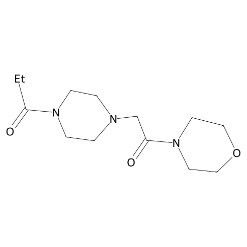 CCC(=O)N1CCN(CC(=O)N2CCOCC2)CC1